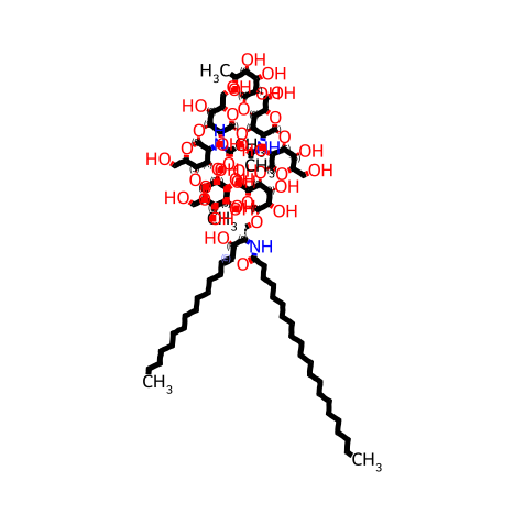 CCCCCCCCCCCCC/C=C/[C@@H](O)[C@H](CO[C@@H]1OC(CO)[C@@H](O[C@@H]2OC(CO)[C@H](O)[C@H](O[C@@H]3OC(CO)[C@@H](O[C@H]4OC(C)[C@@H](O)C(O)[C@@H]4O)[C@H](O[C@@H]4OC(CO)[C@H](O)[C@H](O[C@@H]5OC(CO)[C@@H](O[C@H]6OC(C)[C@@H](O)C(O)[C@@H]6O)[C@H](O[C@@H]6OC(CO)[C@H](O)[C@H](O)C6O)C5NC(C)=O)C4O)C3NC(C)=O)C2O)[C@H](O)C1O)NC(=O)CCCCCCCCCCCCCCCCCCCCC